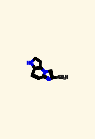 O=C(O)c1cn2c3c(ccc2n1)NCC3